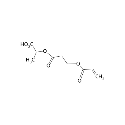 C=CC(=O)OCCC(=O)OC(C)C(=O)O